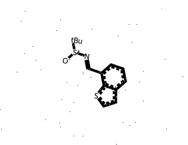 CC(C)(C)[S+]([O-])/N=C/c1cccc2ccsc12